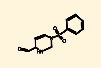 O=CC1C=CN(S(=O)(=O)c2ccccc2)CN1